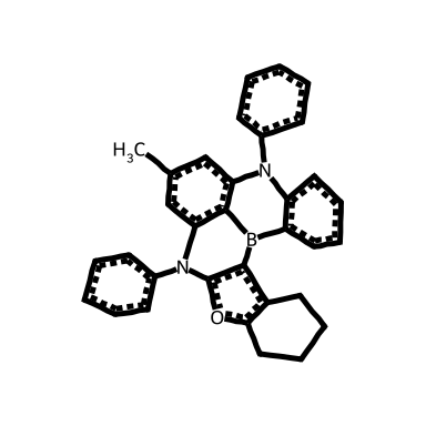 Cc1cc2c3c(c1)N(c1ccccc1)c1oc4c(c1B3c1ccccc1N2c1ccccc1)CCCC4